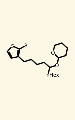 CCCCCCC(CCCCc1ccsc1Br)OC1CCCCO1